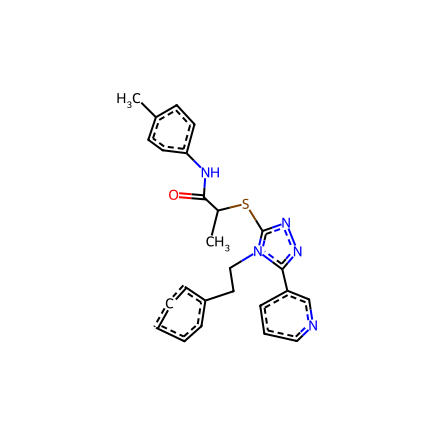 Cc1ccc(NC(=O)C(C)Sc2nnc(-c3cccnc3)n2CCc2ccccc2)cc1